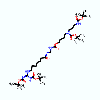 CC(C)(C)OC(=O)N=C(NCCCCCCC(=O)NCNC(=O)OCCCCN(CCCNC(=O)OC(C)(C)C)C(=O)OC(C)(C)C)NC(=O)OC(C)(C)C